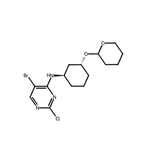 Clc1ncc(Br)c(N[C@@H]2CCC[C@@H](OC3CCCCO3)C2)n1